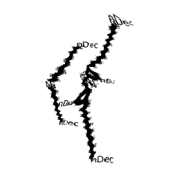 CCCCCCCCCCCCCCCCCCCCCCCCCCc1cc(CCCC)cc(C2=CC(CCCC)=C(c3cc(CCCC)cc(CCCCCCCCCCCCCCCCCCCCCCCCCC)c3)[N+]2=[N-])c1.CCCCCCCCCCCCCCCCCCCCC[CH2][Ni][CH2]CCCCCCCCCCCCCCCCCCCCC